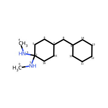 CNC1(NC)CCC(CC2CCCCC2)CC1